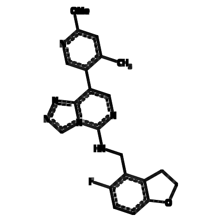 COc1cc(C)c(-c2cnc(NCc3c(F)ccc4c3CCO4)n3cnnc23)cn1